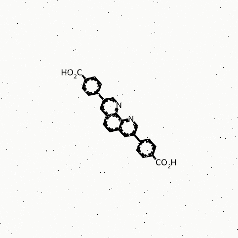 O=C(O)c1ccc(-c2cnc3c(ccc4cc(-c5ccc(C(=O)O)cc5)cnc43)c2)cc1